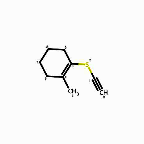 C#CSC1=C(C)CCCC1